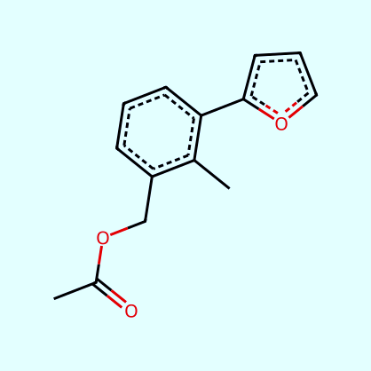 CC(=O)OCc1cccc(-c2ccco2)c1C